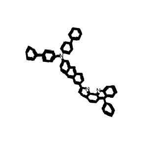 c1ccc(-c2ccc(N(c3ccc(-c4ccccc4)cc3)c3ccc4cc5cc(-c6ccc7ccc8c(-c9ccccc9)c9ccccc9nc8c7n6)ccc5cc4c3)cc2)cc1